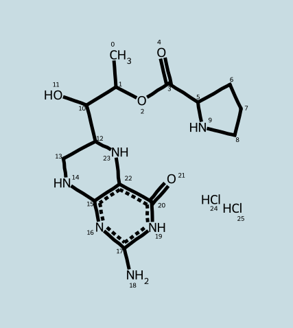 CC(OC(=O)C1CCCN1)C(O)C1CNc2nc(N)[nH]c(=O)c2N1.Cl.Cl